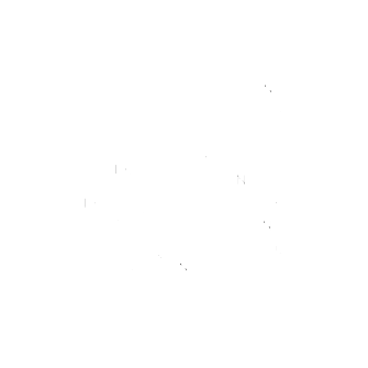 CCC(CC)C1C(=O)Nc2cc([N+](=O)[O-])c(NC(=O)c3ccncc3)cc21